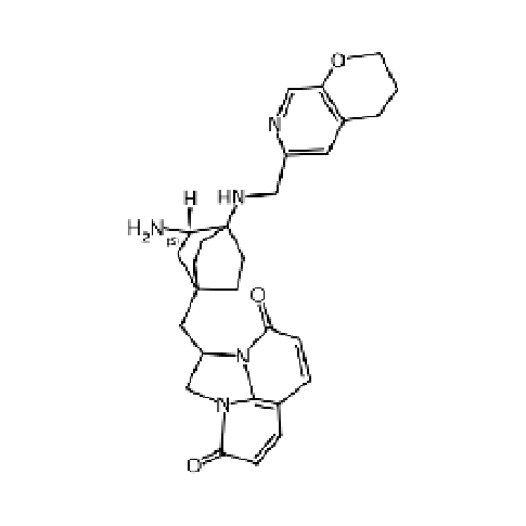 N[C@H]1CC2(CC3Cn4c(=O)ccc5ccc(=O)n3c54)CCC1(NCc1cc3c(cn1)OCCC3)CC2